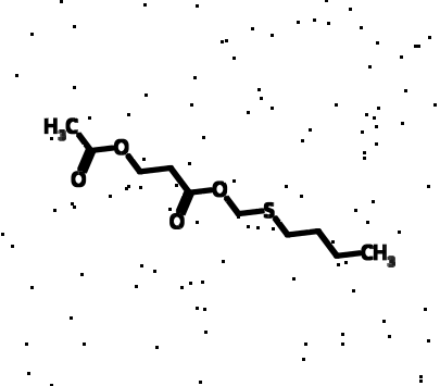 CCCCSCOC(=O)CCOC(C)=O